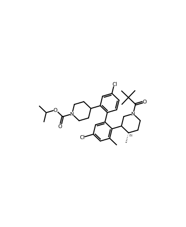 Cc1cc(Cl)cc(-c2ccc(Cl)cc2C2CCN(C(=O)OC(C)C)CC2)c1C1CN(C(=O)C(C)(C)C)CC[C@@H]1C